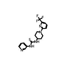 FC(F)(F)c1cccc(N2CCC(NC(=S)Nc3cccnc3)CC2)n1